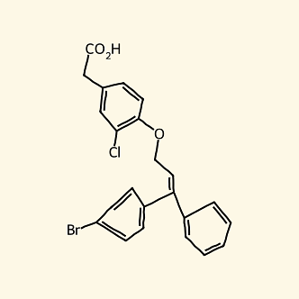 O=C(O)Cc1ccc(OCC=C(c2ccccc2)c2ccc(Br)cc2)c(Cl)c1